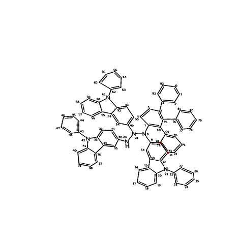 c1ccc(-c2ccc(N(c3ccc4c(c3)c3ccccc3n4-c3ccccc3)N(Nc3ccc4c(c3)c3ccccc3n4-c3ccccc3)c3ccc4c(c3)c3ccccc3n4-c3ccccc3)c(-c3ccccc3)c2-c2ccccc2)cc1